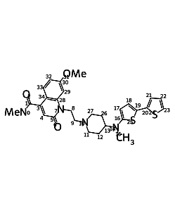 CNC(=O)c1cc(=O)n(CCN2CCC(N(C)c3ccc(-c4cccs4)s3)CC2)c2cc(OC)ccc12